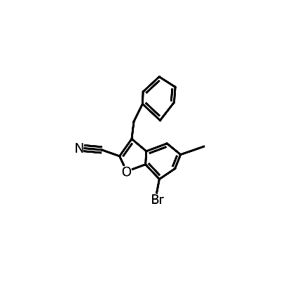 Cc1cc(Br)c2oc(C#N)c(Cc3ccccc3)c2c1